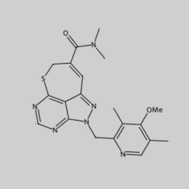 COc1c(C)cnc(Cn2nc3c4c(n[c]nc42)SCC(C(=O)N(C)C)=C3)c1C